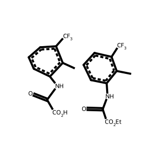 CCOC(=O)C(=O)Nc1cccc(C(F)(F)F)c1C.Cc1c(NC(=O)C(=O)O)cccc1C(F)(F)F